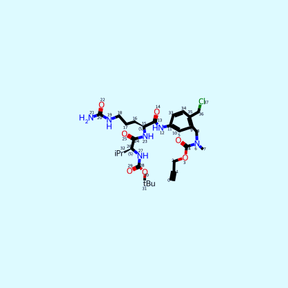 C#CCOC(=O)N(C)Cc1cc(NC(=O)[C@H](CCCNC(N)=O)NC(=O)[C@@H](NC(=O)OC(C)(C)C)C(C)C)ccc1CCl